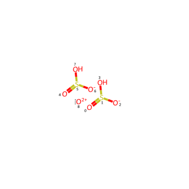 O=S([O-])O.O=S([O-])O.[O+2]